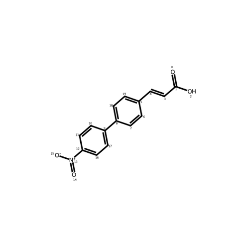 O=C(O)C=Cc1ccc(-c2ccc([N+](=O)[O-])cc2)cc1